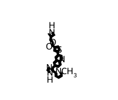 Cc1cccc(-c2[nH]cnc2-c2ccc3ncc(-c4cc(C(=O)OCC5CNC5)cs4)cc3c2)n1